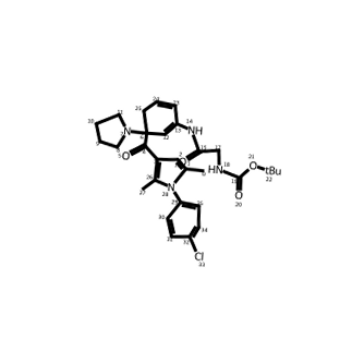 Cc1cc(C(=O)C2(N3CCCC3)C=C(NC(=O)CNC(=O)OC(C)(C)C)C=CC2)c(C)n1-c1ccc(Cl)cc1